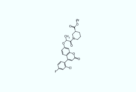 CC(C)OC(=O)[C@H]1CCCN(C(=O)C(C)Oc2ccc3c(-c4ccc(F)cc4Cl)cc(=O)oc3c2)C1